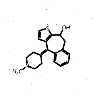 CN1CCC(=C2c3ccccc3CC(O)c3sccc32)CC1